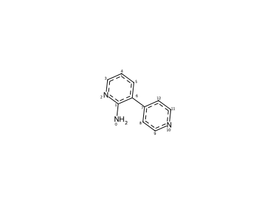 Nc1nc[c]cc1-c1ccncc1